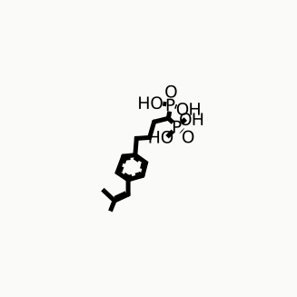 CC(C)=Cc1ccc(CCCC(P(=O)(O)O)P(=O)(O)O)cc1